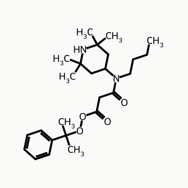 CCCCN(C(=O)CC(=O)OOC(C)(C)c1ccccc1)C1CC(C)(C)NC(C)(C)C1